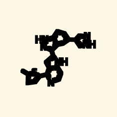 Cc1ccc(-c2nccc3[nH]c(-c4n[nH]c5ccc(-c6cn[nH]c6)cc45)cc23)s1